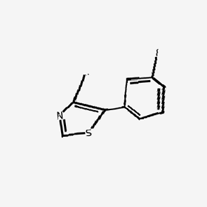 [CH2]c1ncsc1-c1cccc(I)c1